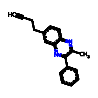 C#CCCc1ccc2nc(C)c(-c3ccccc3)nc2c1